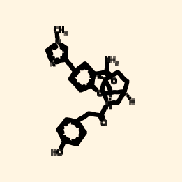 Cn1cnc(-c2ccc(O[C@H]3[C@@H]4CC[C@H]3CN(C(=O)Cc3ccc(O)cc3)C4)c(C(N)=O)c2)c1